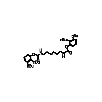 CCCCc1cccc(OC(=O)NCCCCCCNC(=O)Oc2cccc(CCCC)c2CCCC)c1CCCC